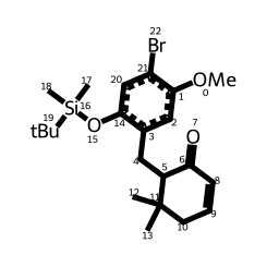 COc1cc(CC2C(=O)C=CCC2(C)C)c(O[Si](C)(C)C(C)(C)C)cc1Br